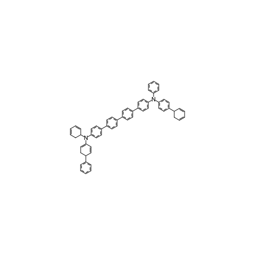 C1=CCC(c2ccc(N(c3ccccc3)c3ccc(-c4ccc(-c5ccc(-c6ccc(N(C7=CCC(c8ccccc8)C=C7)C7C=CC=CC7)cc6)cc5)cc4)cc3)cc2)C=C1